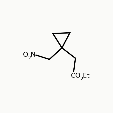 CCOC(=O)CC1(C[N+](=O)[O-])CC1